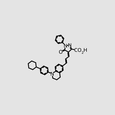 O=C(O)C1=NN(c2ccccc2)C(=O)/C1=C\C=C\c1ccc2c(c1)CCCN2c1ccc(C2CCCCC2)cc1